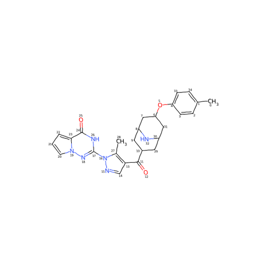 Cc1ccc(OC2CC3CC(C(=O)c4cnn(-c5nn6cccc6c(=O)[nH]5)c4C)CC(C2)N3)cc1